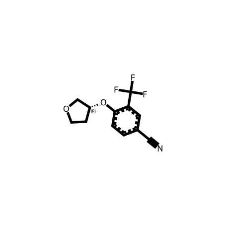 N#Cc1ccc(O[C@@H]2CCOC2)c(C(F)(F)F)c1